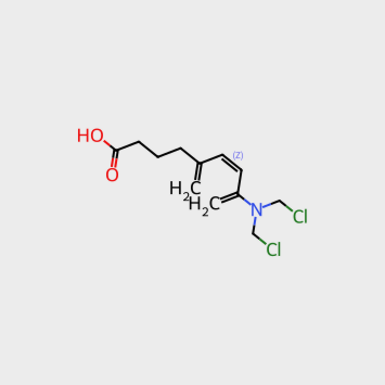 C=C(/C=C\C(=C)N(CCl)CCl)CCCC(=O)O